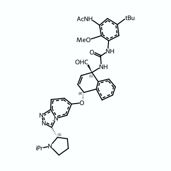 COc1c(NC(C)=O)cc(C(C)(C)C)cc1NC(=O)N[C@@]1(C=O)C=C[C@@H](Oc2ccc3nnc([C@@H]4CCCN4C(C)C)n3c2)c2ccccc21